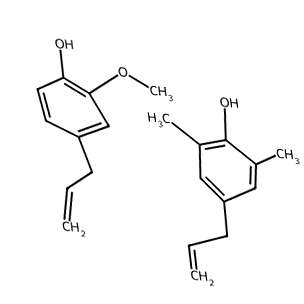 C=CCc1cc(C)c(O)c(C)c1.C=CCc1ccc(O)c(OC)c1